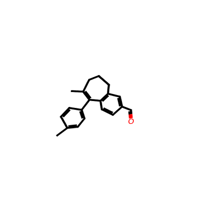 CC1=C(c2ccc(C)cc2)c2ccc(C=O)cc2CCC1